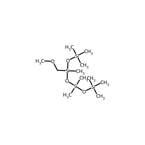 COC[Si](C)(O[Si](C)(C)C)O[Si](C)(C)O[Si](C)(C)C